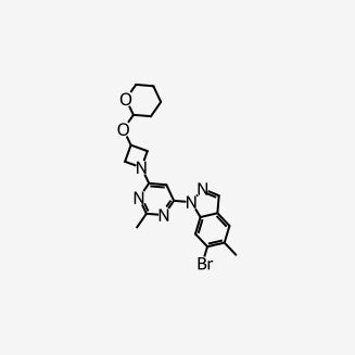 Cc1nc(N2CC(OC3CCCCO3)C2)cc(-n2ncc3cc(C)c(Br)cc32)n1